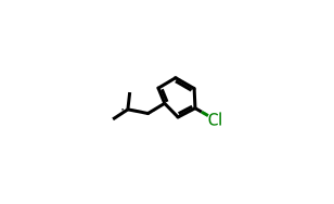 C[C](C)Cc1cccc(Cl)c1